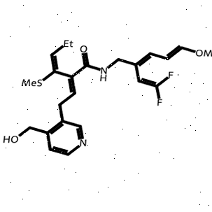 CC/C=C(SC)\C(=C/Cc1cnccc1CO)C(=O)NC/C(C=C(F)F)=C/C=C/OC